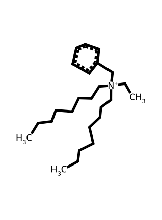 CCCCCCCC[N+](CC)(CCCCCCCC)Cc1ccccc1